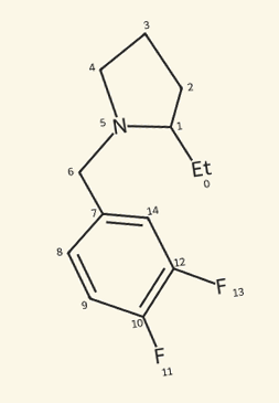 CCC1CCCN1Cc1ccc(F)c(F)c1